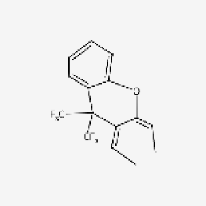 C/C=C1\C(=C/C)Oc2ccccc2C1(C(F)(F)F)C(F)(F)F